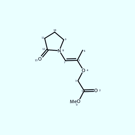 COC(=O)CO/C(C)=C/N1CCCC1=O